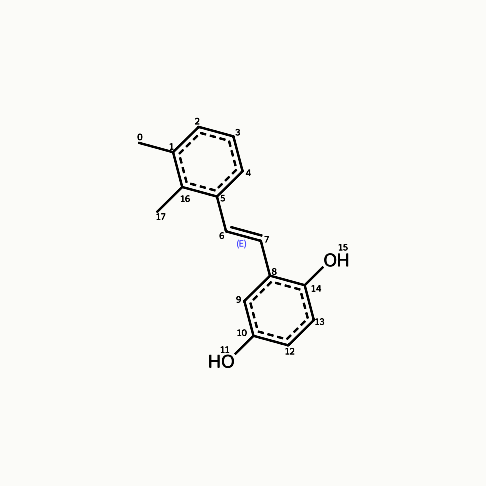 Cc1cccc(/C=C/c2cc(O)ccc2O)c1C